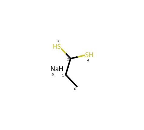 [CH2]CC(S)S.[NaH]